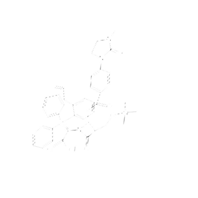 C=CCc1ccccc1P(=C(C(=O)O)N1C(=O)[C@H]([C@@H](C)O[Si](C)(C)C)[C@H]1CC(=O)c1ccc(N2CCN(C)C2=O)cc1)(c1ccccc1)c1ccccc1